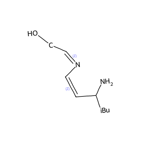 CCC(C)C(N)/C=C\N=C/CO